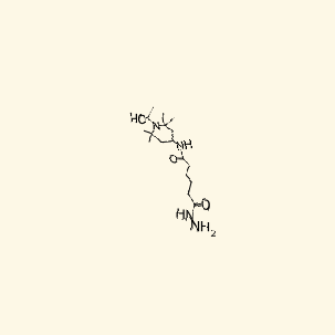 CC(O)N1C(C)(C)CC(NC(=O)CCCCC(=O)NN)CC1(C)C